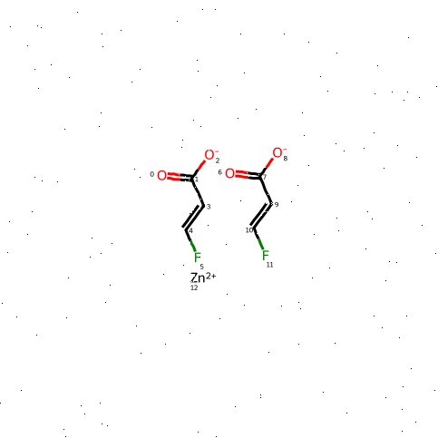 O=C([O-])/C=C/F.O=C([O-])/C=C/F.[Zn+2]